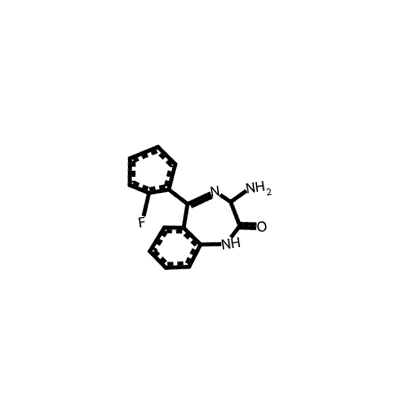 NC1N=C(c2ccccc2F)c2ccccc2NC1=O